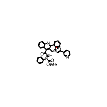 COC(=O)N(NC(=O)c1c(Cn2cc(-c3cccnc3)nn2)c(-c2ccccc2)nc2ccccc12)c1ccccc1